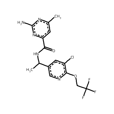 Cc1cc(C(=O)NC(C)c2cnc(OCC(F)(F)F)c(Cl)c2)nc(N)n1